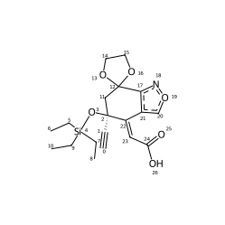 C#C[C@]1(O[Si](CC)(CC)CC)CC2(OCCO2)c2nocc2/C1=C\C(=O)O